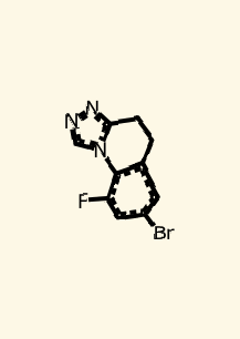 Fc1cc(Br)cc2c1-n1cnnc1CC2